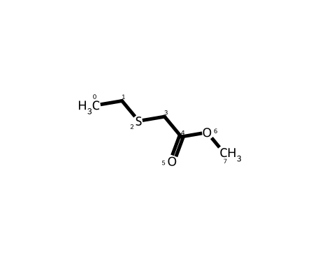 CCSCC(=O)OC